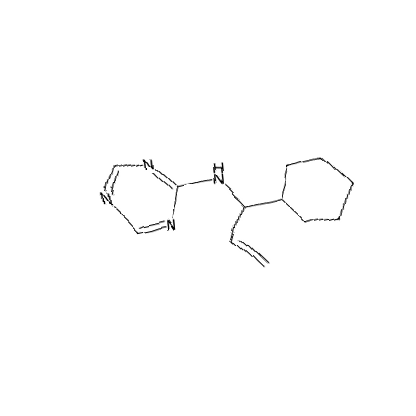 C=CC(Nc1ncncn1)C1CCCCC1